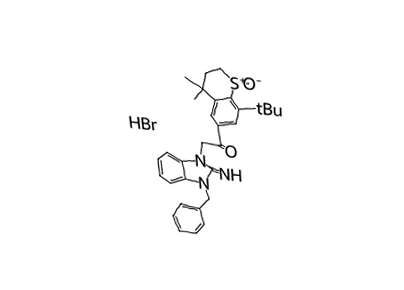 Br.CC(C)(C)c1cc(C(=O)Cn2c(=N)n(Cc3ccccc3)c3ccccc32)cc2c1[S+]([O-])CCC2(C)C